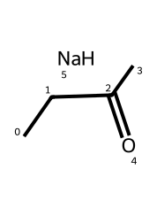 CCC(C)=O.[NaH]